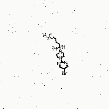 [2H]C([2H])(CCCC)N1CCN(c2ncc(Br)cn2)CC1